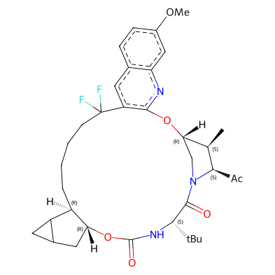 COc1ccc2cc3c(nc2c1)O[C@H]1CN(C(=O)[C@H](C(C)(C)C)NC(=O)O[C@@H]2CC4CC4[C@H]2CCCCC3(F)F)[C@H](C(C)=O)[C@@H]1C